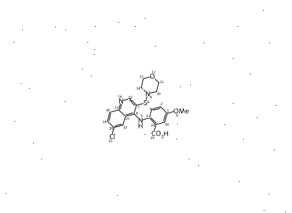 COc1ccc(Nc2c(SN3CCOCC3)cnc3ccc(Cl)cc23)c(C(=O)O)c1